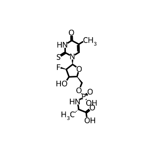 Cc1cn([C@H]2O[C@@H](COP(=O)(O)N[C@@H](C)C(=O)O)C(O)[C@H]2F)c(=S)[nH]c1=O